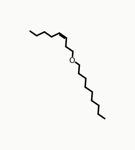 CCCC/C=C\CCOCCCCCCCCC